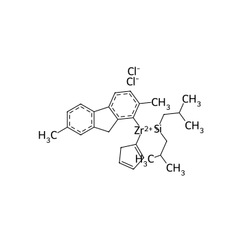 Cc1ccc2c(c1)Cc1c-2ccc(C)[c]1[Zr+2]([C]1=CC=CC1)=[Si](CC(C)C)CC(C)C.[Cl-].[Cl-]